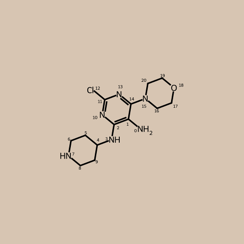 Nc1c(NC2CCNCC2)nc(Cl)nc1N1CCOCC1